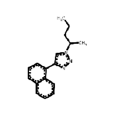 CCCC(C)n1cc(-c2cccc3ccccc23)nn1